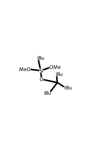 CCC(C)C(O[Si](OC)(OC)C(C)CC)(C(C)CC)C(C)(C)C